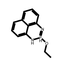 CCO[PH]1=Nc2cccc3cccc(c23)N1